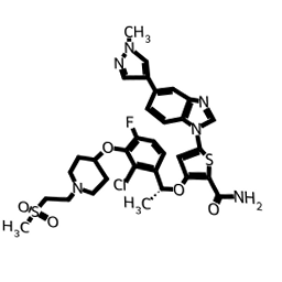 C[C@@H](Oc1cc(-n2cnc3cc(-c4cnn(C)c4)ccc32)sc1C(N)=O)c1ccc(F)c(OC2CCN(CCS(C)(=O)=O)CC2)c1Cl